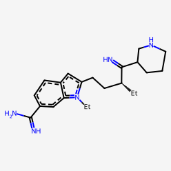 CC[C@@H](CCc1cc2ccc(C(=N)N)cc2n1CC)C(=N)C1CCCNC1